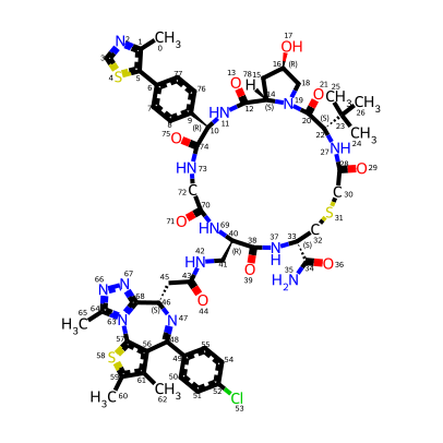 Cc1ncsc1-c1ccc([C@H]2NC(=O)[C@@H]3C[C@@H](O)CN3C(=O)[C@H](C(C)(C)C)NC(=O)CSC[C@H](C(N)=O)NC(=O)[C@@H](CNC(=O)C[C@@H]3N=C(c4ccc(Cl)cc4)c4c(sc(C)c4C)-n4c(C)nnc43)NC(=O)CNC2=O)cc1